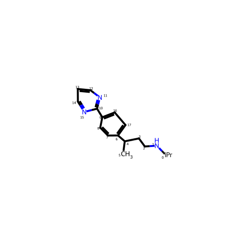 CC(C)NCCC(C)c1ccc(-c2ncccn2)cc1